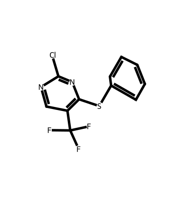 FC(F)(F)c1cnc(Cl)nc1Sc1ccccc1